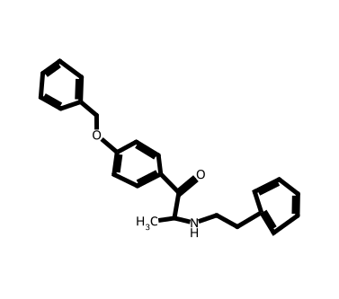 CC(NCCc1ccccc1)C(=O)c1ccc(OCc2ccccc2)cc1